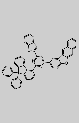 c1ccc(C2(c3ccccc3)c3ccccc3-c3c(-c4nc(-c5ccc6oc7cc8ccccc8cc7c6c5)nc(-c5cc6ccccc6o5)n4)cccc32)cc1